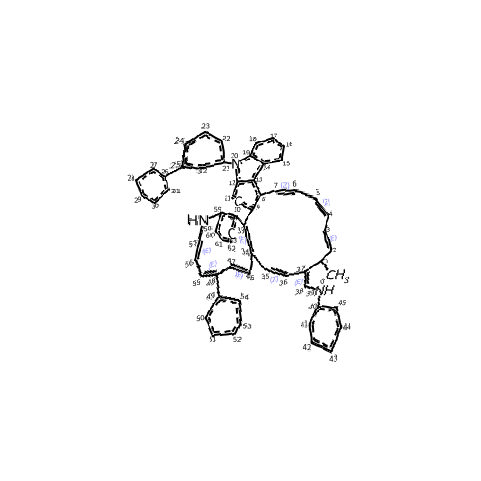 CC1/C=C/C=C\C=C/c2c(ccc3c2c2ccccc2n3-c2cccc(-c3ccccc3)c2)/C2=C(\C=C/C1=C/Nc1ccccc1)/C=C/C(c1ccccc1)=C\C=C\Nc1ccccc12